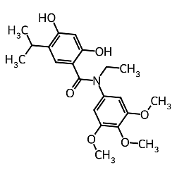 CCN(C(=O)c1cc(C(C)C)c(O)cc1O)c1cc(OC)c(OC)c(OC)c1